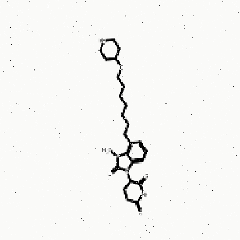 Cn1c(=O)n(C2CCC(=O)NC2=O)c2cccc(CCCCCCCOC3CCNCC3)c21